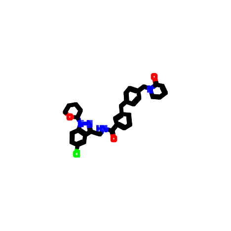 O=C(NCc1nn(C2CCCCO2)c2ccc(Cl)cc12)c1cccc(Cc2ccc(Cn3ccccc3=O)cc2)c1